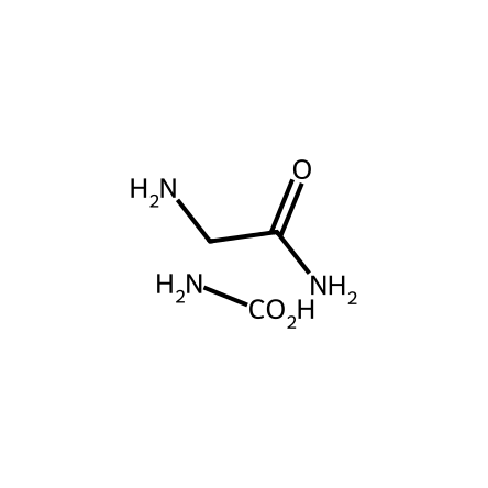 NC(=O)O.NCC(N)=O